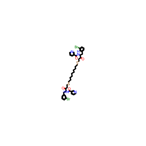 O=C(NC(Cc1cccc(Br)c1)C(=O)CCSCCCCCCCCCCSCCC(=O)C(Cc1cccc(Br)c1)NC(=O)c1cccnc1)c1cccnc1